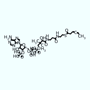 CC=C=CCC(=O)SCCNC(=O)CCNC(=O)[C@H](O)C(C)(C)COP(=O)(O)OP(=O)(O)OC[C@H]1O[C@@H](n2cnc3c(N)ncnc32)[C@H](O)[C@@H]1OP(=O)(O)O